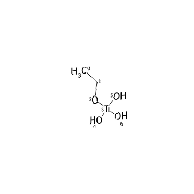 CC[O][Ti]([OH])([OH])[OH]